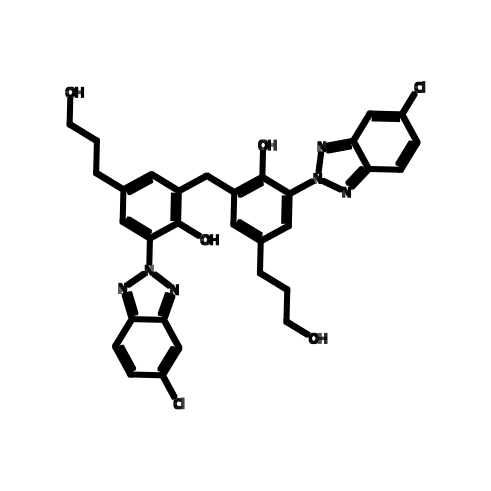 OCCCc1cc(Cc2cc(CCCO)cc(-n3nc4ccc(Cl)cc4n3)c2O)c(O)c(-n2nc3ccc(Cl)cc3n2)c1